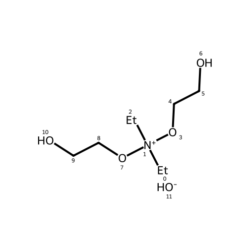 CC[N+](CC)(OCCO)OCCO.[OH-]